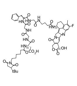 Cc1c(F)cc2nc3c(c4c2c1CC[C@@H]4NC(=O)CCCNC(=O)CNC(=O)[C@H](Cc1ccccc1)NC(=O)CNC(=O)CNC(=O)[C@H](CC(=O)O)NC(=O)CCCCCN1C(=O)CC(C(C)(C)C)C1=O)Cn1c-3cc2c(c1=O)COC(=O)[C@H]2O